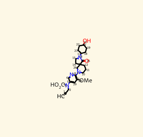 C#CCN(C(=O)O)c1cnc(N2CCCC3(CCN(C4CCC(O)CC4)C3=O)C2)c(OC)c1